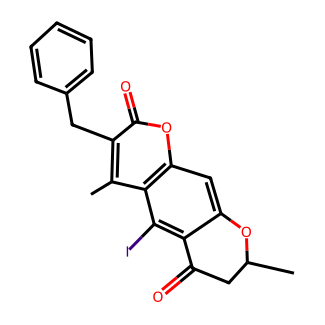 Cc1c(Cc2ccccc2)c(=O)oc2cc3c(c(I)c12)C(=O)CC(C)O3